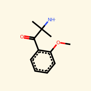 COc1ccccc1C(=O)C(C)(C)[NH]